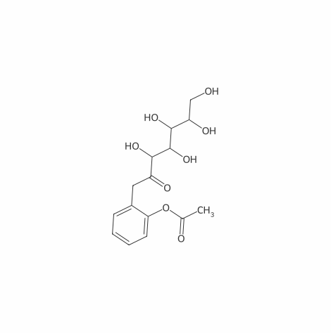 CC(=O)Oc1ccccc1CC(=O)C(O)C(O)C(O)C(O)CO